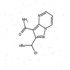 CCCCC(CC)c1nn2cccnc2c1C(N)=O